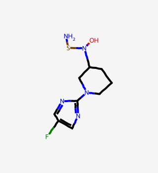 NSN(O)C1CCCN(c2ncc(F)cn2)C1